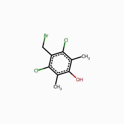 Cc1c(O)c(C)c(Cl)c(CBr)c1Cl